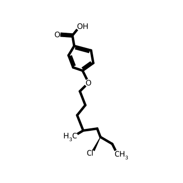 CC[C@@H](Cl)CC(C)CCCOc1ccc(C(=O)O)cc1